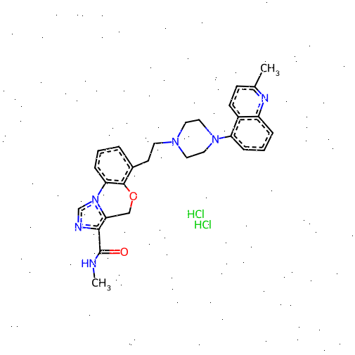 CNC(=O)c1ncn2c1COc1c(CCN3CCN(c4cccc5nc(C)ccc45)CC3)cccc1-2.Cl.Cl